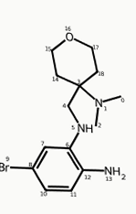 CN(C)C1(CNc2cc(Br)ccc2N)CCOCC1